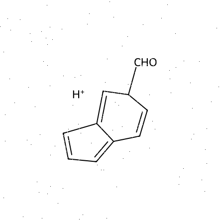 O=CC1C=CC2=CC=CC2=C1.[H+]